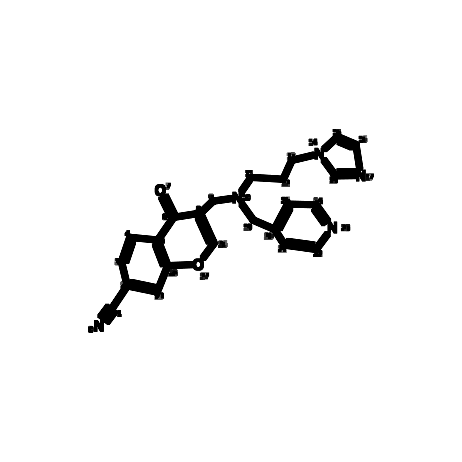 N#Cc1ccc2c(=O)c(CN(CCCn3ccnc3)Cc3ccncc3)coc2c1